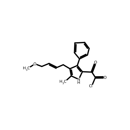 COCC=CCc1c(C)[nH]c(C(=O)C(=O)Cl)c1-c1ccccc1